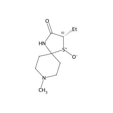 CC[C@H]1C(=O)NC2(CCN(C)CC2)[S+]1[O-]